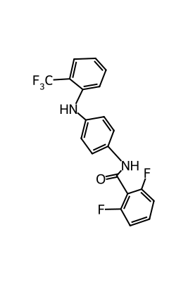 O=C(Nc1ccc(Nc2ccccc2C(F)(F)F)cc1)c1c(F)cccc1F